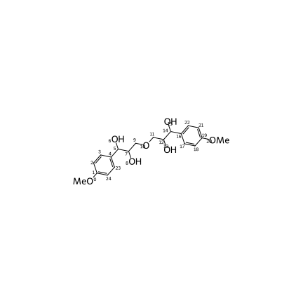 COc1ccc(C(O)C(O)COCC(O)C(O)c2ccc(OC)cc2)cc1